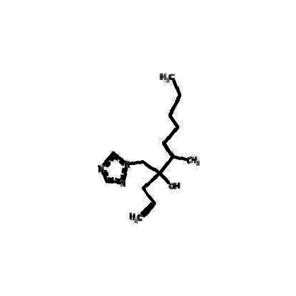 C=CCC(O)(Cn1cncn1)C(C)CCCCC